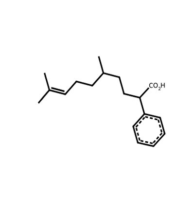 CC(C)=CCCC(C)CCC(C(=O)O)c1ccccc1